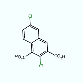 O=C(O)c1cc2cc(Cl)ccc2c(C(=O)O)c1Cl